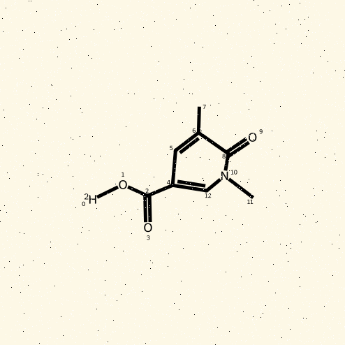 [2H]OC(=O)c1cc(C)c(=O)n(C)c1